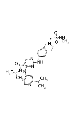 CNS(=O)(=O)CN1CCc2cc(Nc3ncc4c(=O)n(C(C)C)n(-c5ccnc(C(C)C)c5)c4n3)ccc2C1